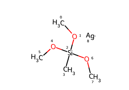 CO[Si](C)(OC)OC.[Ag]